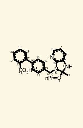 CCCOC1(C)Nc2cccnc2N1Cc1ccc(-c2ccccc2C(=O)O)cc1